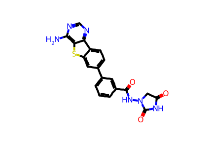 Nc1ncnc2c1sc1cc(-c3cccc(C(=O)NN4CC(=O)NC4=O)c3)ccc12